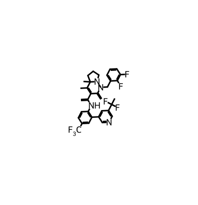 C=C(Nc1ccc(C(F)(F)F)cc1-c1cncc(C(C)(F)F)c1)C1=C(C)C2(C)CCCN2N(Cc2cccc(F)c2F)C1=C